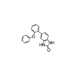 O=c1[nH]c2ccc(-c3ccccc3Oc3ccccc3)cc2[nH]1